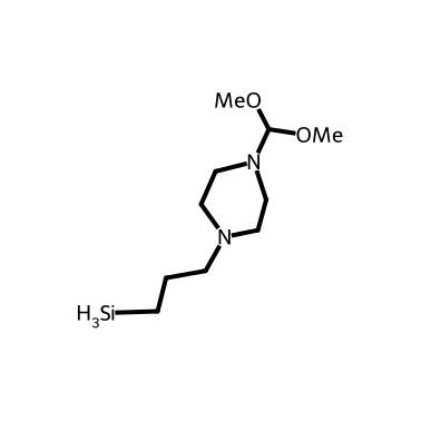 COC(OC)N1CCN(CCC[SiH3])CC1